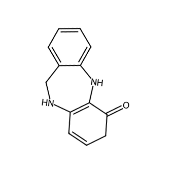 O=C1CC=CC2=C1Nc1ccccc1CN2